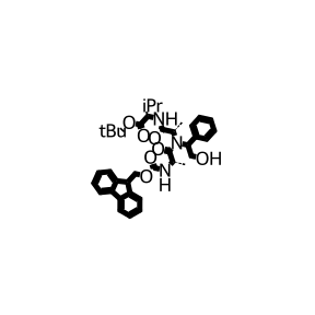 CC(C)[C@H](NC(=O)[C@H](C)N(C(=O)[C@H](C)NC(=O)OCC1c2ccccc2-c2ccccc21)C(CO)c1ccccc1)C(=O)OC(C)(C)C